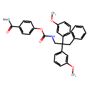 COC(=O)c1ccc(OC(=O)NCC(Cc2ccccc2)(c2cccc(OC(F)(F)F)c2)c2cccc(OC(F)(F)F)c2)cc1